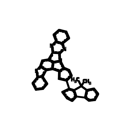 CC1(C)c2ccccc2-c2cccc(-c3ccc4c(c3)c3c5c(cc6c7nc8ccccc8nc7n4c63)sc3ccccc35)c21